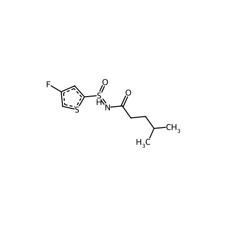 CC(C)CCC(=O)/N=[SH](=O)/c1cc(F)cs1